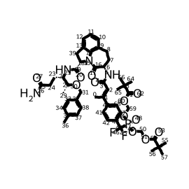 C/C(=C\C(=O)N[C@H]1CCc2cccc3c2N(C1=O)[C@H](C(=O)N[C@@H](CCC(N)=O)[C@@H](C)OCc1ccc(C)cc1)C3)c1ccc(C(F)(F)P(=O)(OCOC(=O)C(C)(C)C)OCOC(=O)C(C)(C)C)cc1